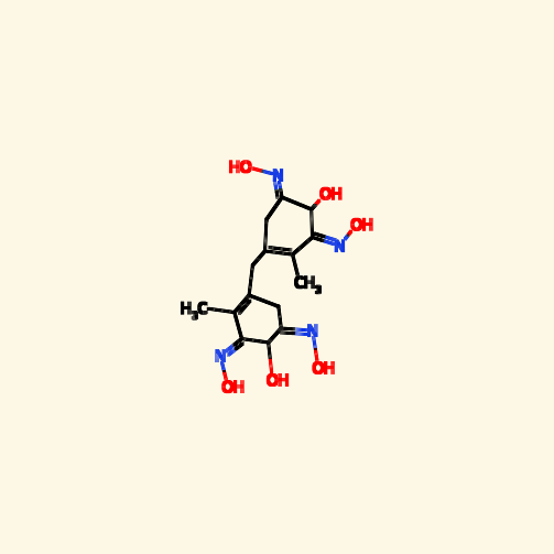 CC1=C(CC2=C(C)C(=NO)C(O)C(=NO)C2)CC(=NO)C(O)C1=NO